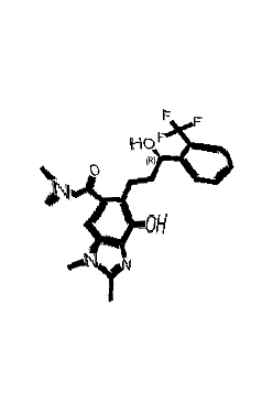 Cc1nc2c(O)c(CC[C@@H](O)c3ccccc3C(F)(F)F)c(C(=O)N(C)C)cc2n1C